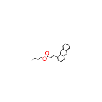 CCCCOC(=O)C=Cc1cccc2cc3ccccc3cc12